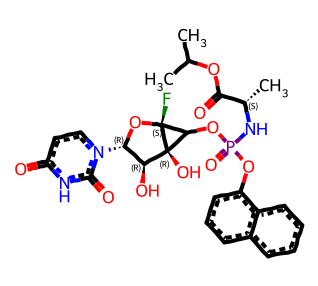 CC(C)OC(=O)[C@H](C)NP(=O)(Oc1cccc2ccccc12)OC1[C@@]2(F)O[C@@H](n3ccc(=O)[nH]c3=O)[C@H](O)[C@@]12O